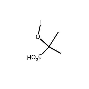 CC(C)(OI)C(=O)O